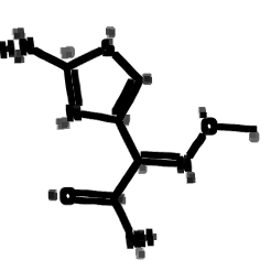 CO/N=C(/C([NH])=O)c1csc(N)n1